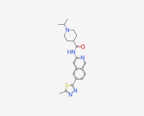 Cc1nnc(-c2ccc3cnc(NC(=O)C4CCN(C(C)C)CC4)cc3c2)s1